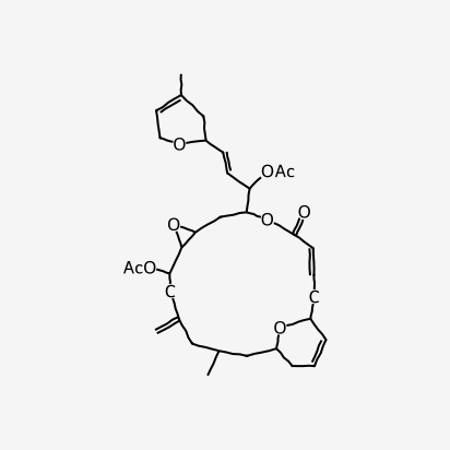 C=C1CC(C)CC2CC=CC(CC=CC(=O)OC(C(C=CC3CC(C)=CCO3)OC(C)=O)CC3OC3C(OC(C)=O)C1)O2